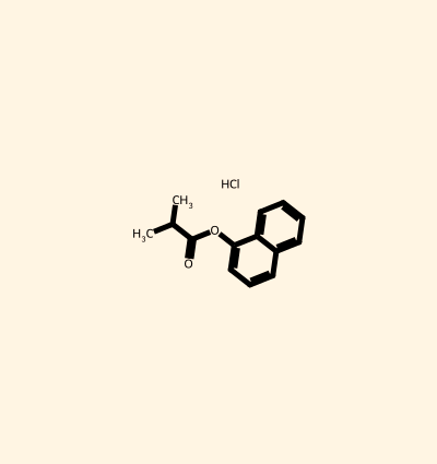 CC(C)C(=O)Oc1cccc2ccccc12.Cl